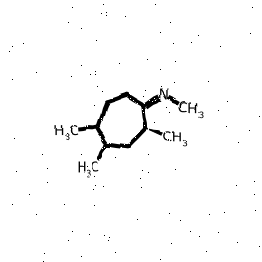 C/N=C1/CCC(C)C(C)C[C@@H]1C